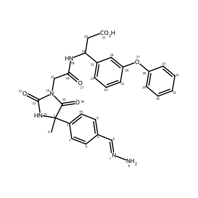 CC1(c2ccc(C=NN)cc2)NC(=O)N(CC(=O)NC(CC(=O)O)c2cccc(Oc3ccccc3)c2)C1=O